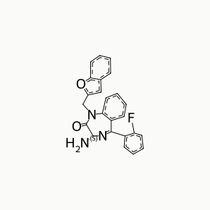 N[C@H]1N=C(c2ccccc2F)c2ccccc2N(Cc2cc3ccccc3o2)C1=O